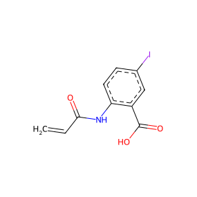 C=CC(=O)Nc1ccc(I)cc1C(=O)O